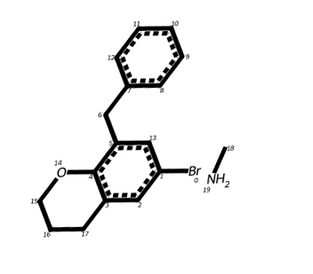 Brc1cc2c(c(Cc3ccccc3)c1)OCCC2.CN